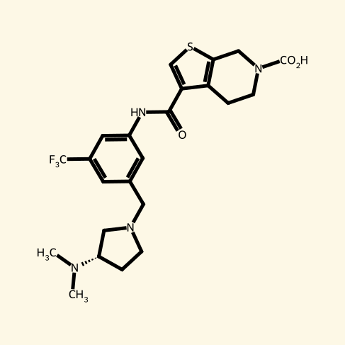 CN(C)[C@H]1CCN(Cc2cc(NC(=O)c3csc4c3CCN(C(=O)O)C4)cc(C(F)(F)F)c2)C1